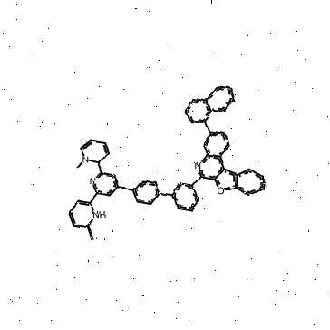 CC1C=CC=C(c2cc(-c3ccc(-c4cccc(-c5nc6cc(-c7cccc8ccccc78)ccc6c6c5oc5ccccc56)c4)cc3)cc(C3C=CC=CN3C)n2)N1